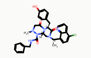 C[C@@H](c1ccc(Cl)c2cccnc12)N1C[C@H]2N(C(=O)CN(C)N2C(=O)NCc2ccccc2)[C@@H](Cc2ccc(O)cc2)C1=O